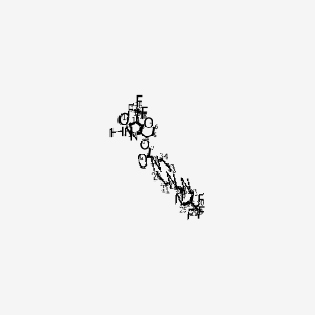 O=C(CO[C@@H]1CCOc2c1n[nH]c(=O)c2C(F)(F)F)N1CCN(c2ncc(C(F)(F)F)cn2)CC1